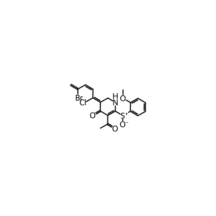 C=C(Br)/C=C\C(Cl)=C1/CNC([S+]([O-])c2ccccc2OC)=C(C(C)=O)C1=O